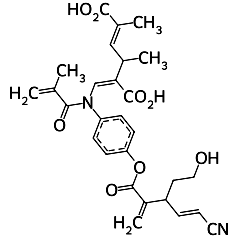 C=C(C)C(=O)N(C=C(C(=O)O)C(C)C=C(C)C(=O)O)c1ccc(OC(=O)C(=C)C(C=CC#N)CCO)cc1